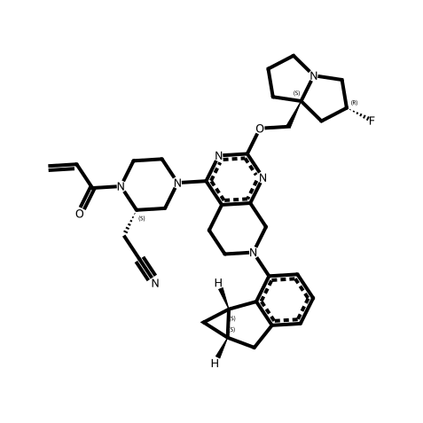 C=CC(=O)N1CCN(c2nc(OC[C@@]34CCCN3C[C@H](F)C4)nc3c2CCN(c2cccc4c2[C@H]2C[C@H]2C4)C3)C[C@@H]1CC#N